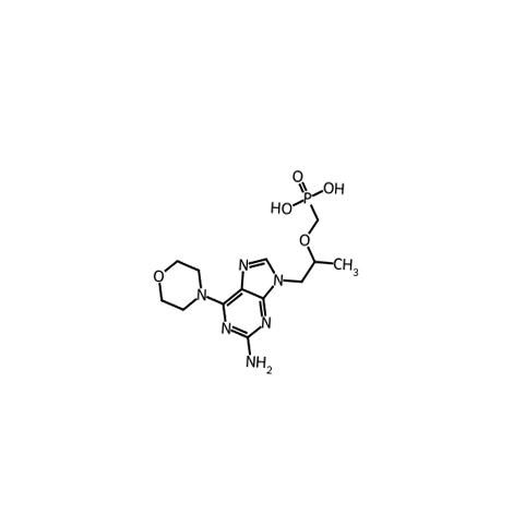 CC(Cn1cnc2c(N3CCOCC3)nc(N)nc21)OCP(=O)(O)O